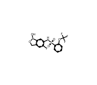 O=S(=O)(Nc1cc2c(cc1F)COB2O)c1ccccc1OC(F)(F)F